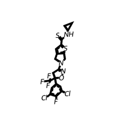 Fc1c(Cl)cc(C2(C(F)(F)F)CC(N3Cc4cc(C(=S)NC5CC5)sc4C3)=NO2)cc1Cl